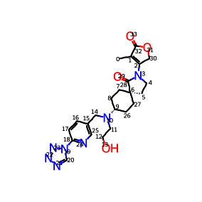 CC1=C(N2CC[C@]3(CC[C@@H](N(CCO)Cc4ccc(-n5cnnn5)nc4)CC3)C2=O)COC1=O